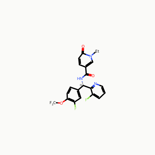 CCn1cc(C(=O)N[C@@H](c2ccc(OC(F)(F)F)c(F)c2)c2ncccc2F)ccc1=O